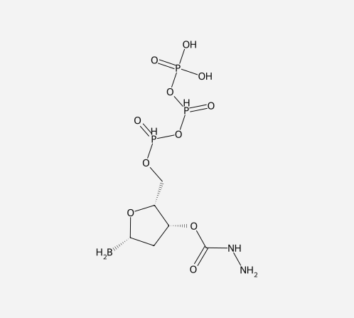 B[C@H]1C[C@@H](OC(=O)NN)[C@@H](CO[PH](=O)O[PH](=O)OP(=O)(O)O)O1